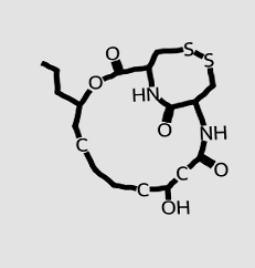 CCCC1CCCCCC(O)CC(=O)NC2CSSCC(NC2=O)C(=O)O1